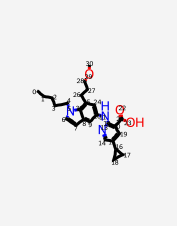 CCCCCn1ccc2cc(Nc3ncc(C4CC4)cc3C(=O)O)cc(CCCOC)c21